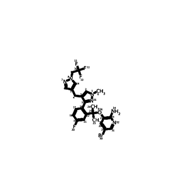 Cn1cc(Cc2cnn(CC(F)(F)F)c2)c(-c2ccc(F)cc2C(C)(C)Oc2cc(Br)cnc2N)n1